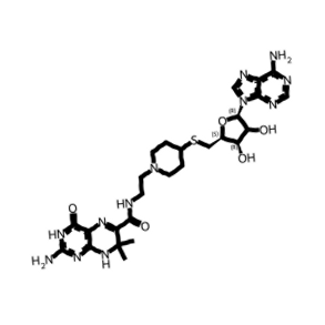 CC1(C)Nc2nc(N)[nH]c(=O)c2N=C1C(=O)NCCN1CCC(SC[C@H]2O[C@@H](n3cnc4c(N)ncnc43)C(O)[C@H]2O)CC1